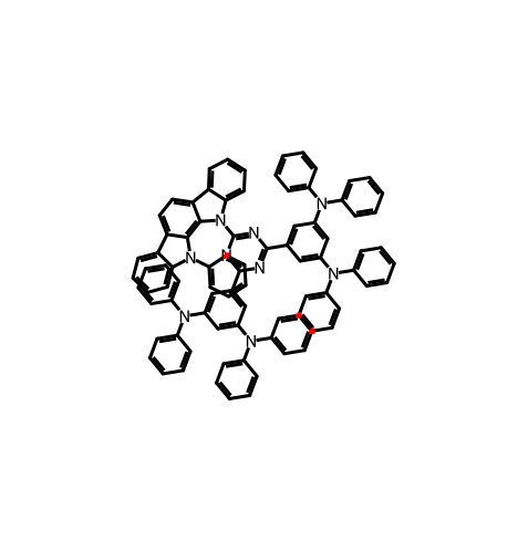 c1ccc(N(c2ccccc2)c2cc(-c3nc(-c4cc(N(c5ccccc5)c5ccccc5)cc(N(c5ccccc5)c5ccccc5)c4)nc(-n4c5ccccc5c5ccc6c7ccccc7n(-c7ccccc7)c6c54)n3)cc(N(c3ccccc3)c3ccccc3)c2)cc1